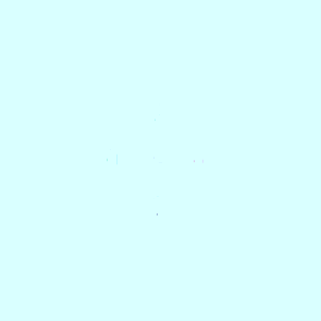 [O][Si](Cl)(Cl)Cl